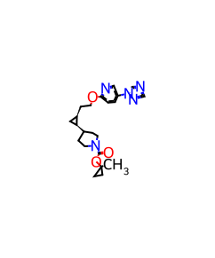 CC1(OC(=O)N2CCC([C@H]3C[C@H]3CCOc3ccc(-n4cncn4)cn3)CC2)CC1